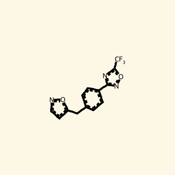 FC(F)(F)c1nc(-c2ccc(Cc3ccno3)cc2)no1